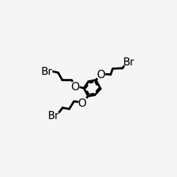 BrCCCOc1ccc(OCCCBr)c(OCCCBr)c1